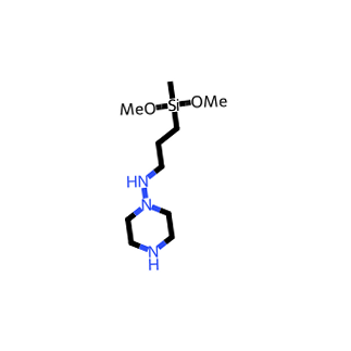 CO[Si](C)(CCCNN1CCNCC1)OC